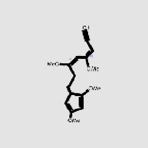 C#C/C=C(\C=C(/CCC1C=C(OC)C=C1OC)OC)OC